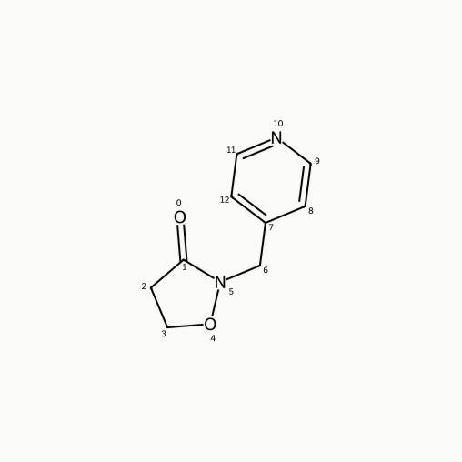 O=C1CCON1Cc1ccncc1